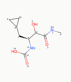 CNC(=O)C(O)[C@H](CC1CC1)NC(=O)O